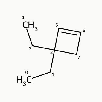 CCC1(CC)C=CC1